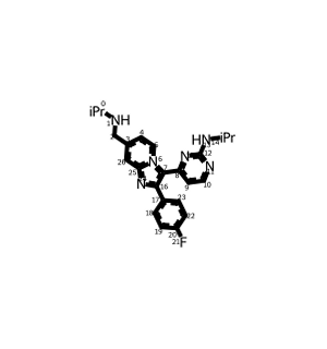 CC(C)NCc1ccn2c(-c3ccnc(NC(C)C)n3)c(-c3ccc(F)cc3)nc2c1